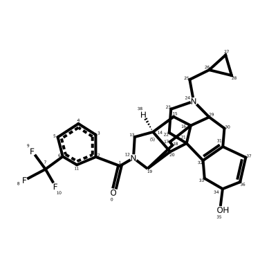 O=C(c1cccc(C(F)(F)F)c1)N1C[C@H]2CC34CCC1C2C31CCN(CC2CC2)C4CC2=C1CC(O)C=C2